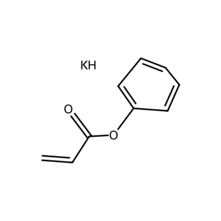 C=CC(=O)Oc1ccccc1.[KH]